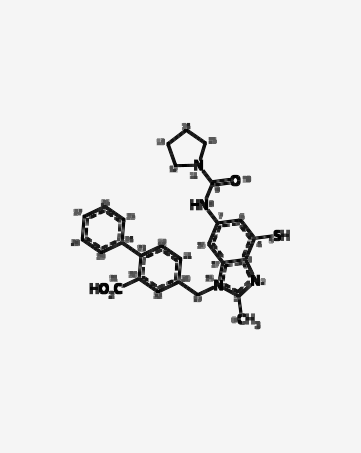 Cc1nc2c(S)cc(NC(=O)N3CCCC3)cc2n1Cc1ccc(-c2ccccc2)c(C(=O)O)c1